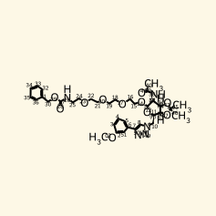 COc1cccc(-c2cn(C[C@H]3OC(OCCOCCOCCOCCNC(=O)OCc4ccccc4)[C@H](NC(C)=O)[C@H]4OC(C)(C)O[C@H]43)nn2)c1